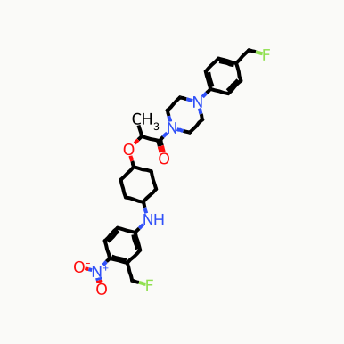 CC(OC1CCC(Nc2ccc([N+](=O)[O-])c(CF)c2)CC1)C(=O)N1CCN(c2ccc(CF)cc2)CC1